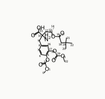 COC(=O)Oc1ccc(CC(N)(C[C@H](C)OC(=O)CC(C)(C)C)C(=O)O)cc1OC(=O)OC